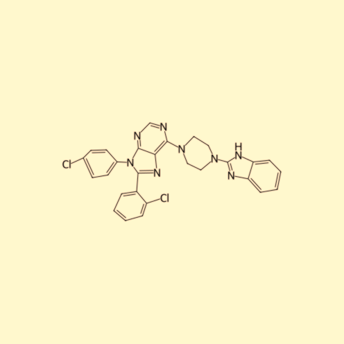 Clc1ccc(-n2c(-c3ccccc3Cl)nc3c(N4CCN(c5nc6ccccc6[nH]5)CC4)ncnc32)cc1